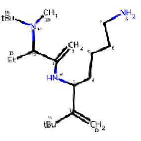 C=C(NC(CCCCN)C(=C)C(C)(C)C)C(CC)N(C)C(C)(C)C